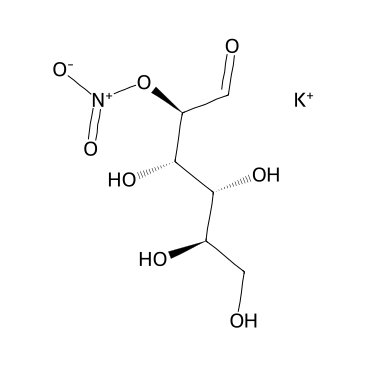 O=C[C@H](O[N+](=O)[O-])[C@@H](O)[C@H](O)[C@H](O)CO.[K+]